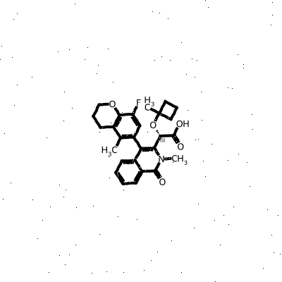 Cc1c(-c2c([C@H](OC3(C)CCC3)C(=O)O)n(C)c(=O)c3ccccc23)cc(F)c2c1CCCO2